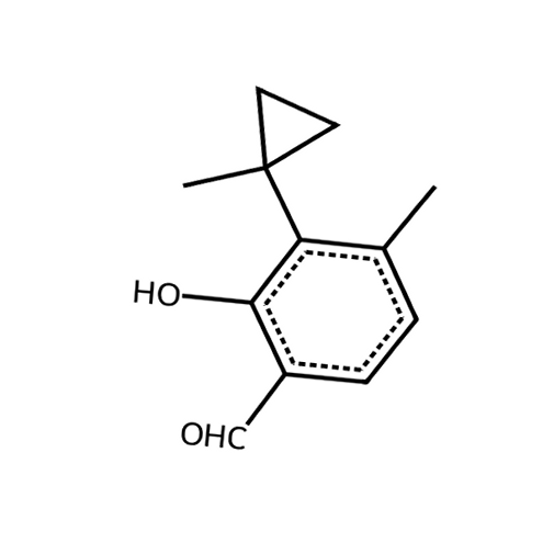 Cc1ccc(C=O)c(O)c1C1(C)CC1